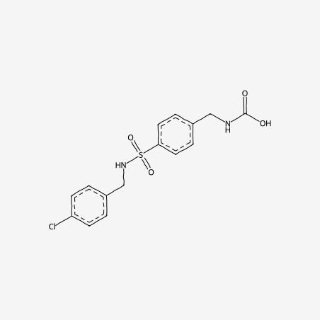 O=C(O)NCc1ccc(S(=O)(=O)NCc2ccc(Cl)cc2)cc1